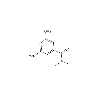 CNc1cc(OC)cc(C(=O)N(C)C)c1